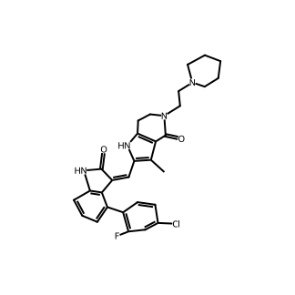 Cc1c(/C=C2\C(=O)Nc3cccc(-c4ccc(Cl)cc4F)c32)[nH]c2c1C(=O)N(CCN1CCCCC1)CC2